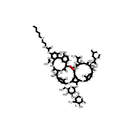 CCCCCOCCNC(=O)Oc1cc(O)c2c(c1)[C@@H](C(=O)O)NC(=O)[C@H]1NC(=O)[C@H](CC(=O)[C@@H]3NC(=O)[C@H](CC(N)=O)CC(=O)[C@H](NC(=O)[C@H](CC)CC(C)C)[C@H](O)c4ccc(c(Cl)c4)Oc4cc3cc(c4O[C@@H]3O[C@H](CO)[C@@H](O)[C@H](O)[C@H]3O[C@H]3C[C@](C)(N)[C@H](O)[C@H](C)O3)Oc3ccc(cc3Cl)[C@H]1O)c1ccc(O)c-2c1